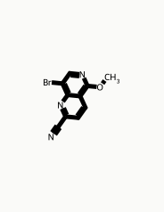 COc1ncc(Br)c2nc(C#N)ccc12